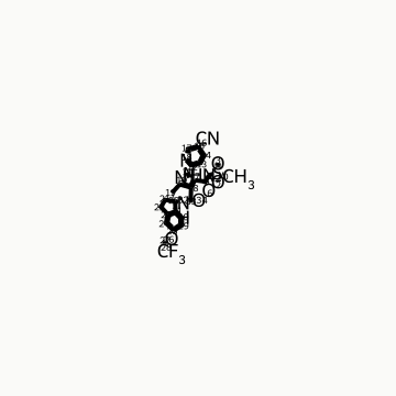 CS(=O)(=O)NC(=O)c1c2c(nn1-c1ccc(C#N)cn1)C[C@]1(CCc3cc(OCC(F)(F)F)ccc31)NC2=O